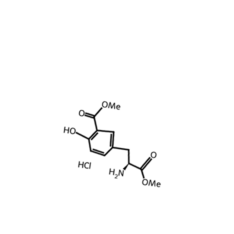 COC(=O)c1cc(C[C@H](N)C(=O)OC)ccc1O.Cl